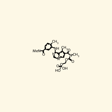 CNC(=O)c1ccc(C)c(Nc2ncnn3cc(C(=O)N(C)C(=O)OCOP(=O)(O)O)c(C)c23)c1